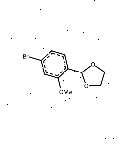 COc1cc(Br)ccc1C1OCCO1